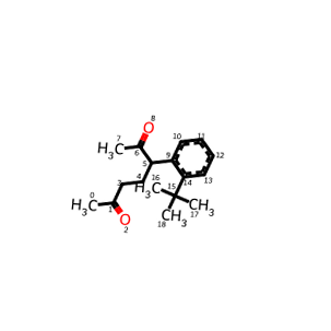 CC(=O)CCC(C(C)=O)c1ccccc1C(C)(C)C